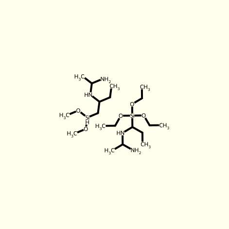 CCC(C[SiH](OC)OC)NC(C)N.CCO[Si](OCC)(OCC)C(CC)NC(C)N